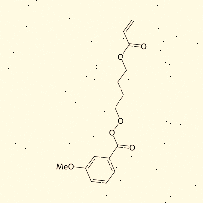 C=CC(=O)OCCCCOOC(=O)c1cccc(OC)c1